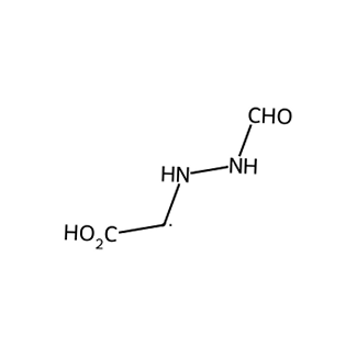 O=CNN[CH]C(=O)O